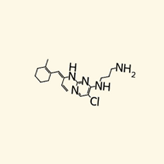 C=C/C(=C\C1=C(C)CCCC1)Nc1ncc(Cl)c(NCCCN)n1